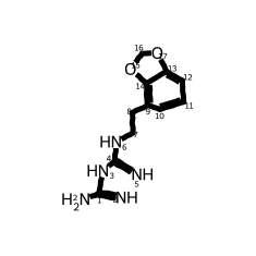 N=C(N)NC(=N)NCCc1cccc2c1OCO2